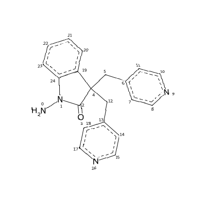 NN1C(=O)C(Cc2ccncc2)(Cc2ccncc2)c2ccccc21